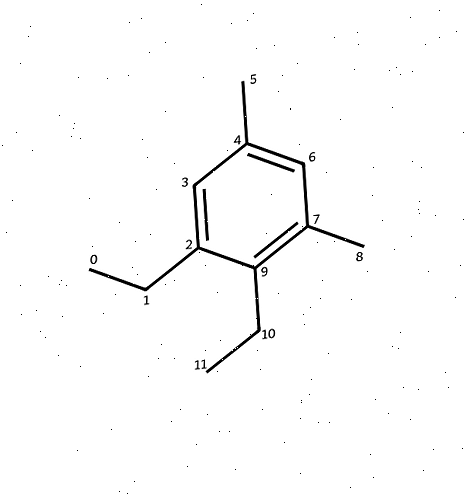 CCc1cc(C)cc(C)c1CC